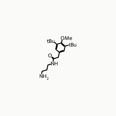 COc1c(C(C)(C)C)cc(CC(=O)NCCCN)cc1C(C)(C)C